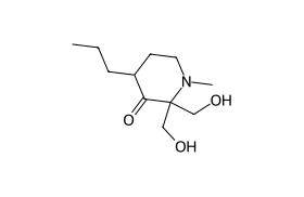 CCCC1CCN(C)C(CO)(CO)C1=O